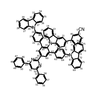 N#Cc1cccc(-c2ccc3c(c2)c2ccccc2n3-c2c(-c3ccc(-n4c5ccccc5c5ccccc54)cc3)cc(-c3nc(-c4ccccc4)cc(-c4ccccc4)n3)cc2-c2ccc(-n3c4ccccc4c4ccccc43)cc2)c1